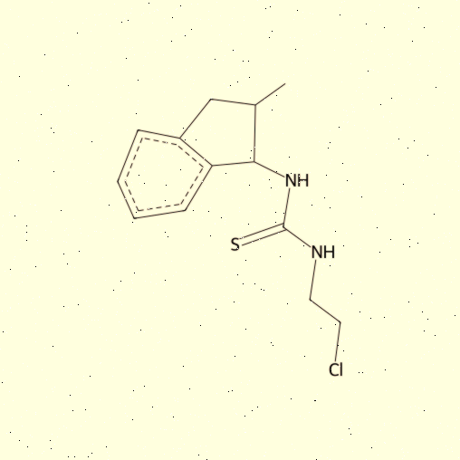 CC1Cc2ccccc2C1NC(=S)NCCCl